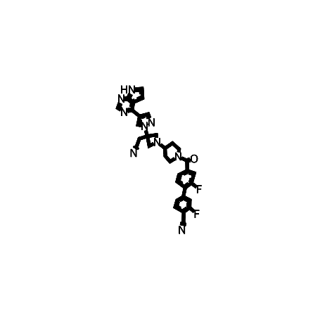 N#CCC1(n2cc(-c3ncnc4[nH]ccc34)cn2)CN(C2CCN(C(=O)c3ccc(-c4ccc(C#N)c(F)c4)c(F)c3)CC2)C1